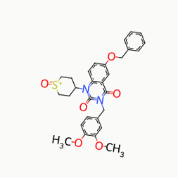 COc1ccc(Cn2c(=O)c3cc(OCc4ccccc4)ccc3n(C3CC[S+]([O-])CC3)c2=O)cc1OC